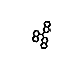 c1ccc2cc([C](c3cnc4ccccc4c3)c3cccc4ccccc34)ccc2c1